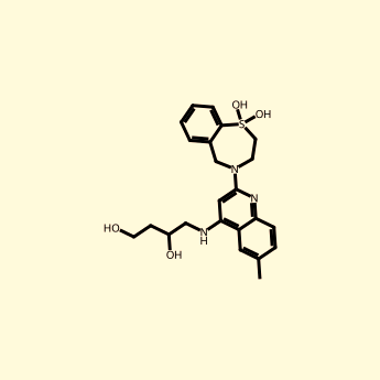 Cc1ccc2nc(N3CCS(O)(O)c4ccccc4C3)cc(NCC(O)CCO)c2c1